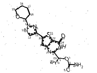 CC(C)[C@H](OC(N)=O)c1nc2cc(-c3cnn(C4CCCCO4)n3)sc2c(=O)[nH]1